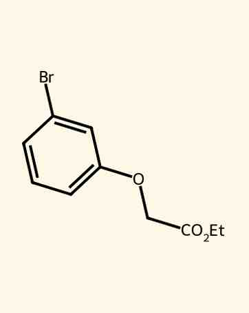 CCOC(=O)COc1cccc(Br)c1